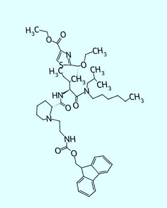 CCCCCCN(C(=O)[C@@H](NC(=O)[C@H]1CCCCN1CCNC(=O)OCC1c2ccccc2-c2ccccc21)[C@@H](C)CC)[C@H](C[C@@H](OCC)c1nc(C(=O)OCC)cs1)C(C)C